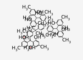 Cc1cc(C)c(C(c2cc(C(C)(C)c3ccc(C(C)(c4cc(C)c(O)c(C(c5c(C)cc(C)cc5O)c5c(C)cc(C)cc5O)c4)c4cc(C)c(O)c(C(c5c(C)cc(C)cc5O)c5c(C)cc(C)cc5O)c4)cc3)cc(C)c2O)c2c(C)cc(C)cc2O)c(O)c1